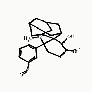 COC1(c2cccc(P=O)c2)CCC(O)C(O)C12C1CC3CC(C1)CC2C3